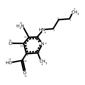 CCCCNc1nc(C)c(C(=O)O)c(Cl)c1N